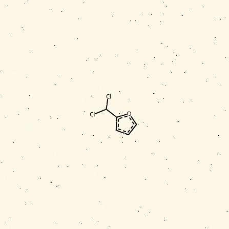 ClC(Cl)c1cc[c]o1